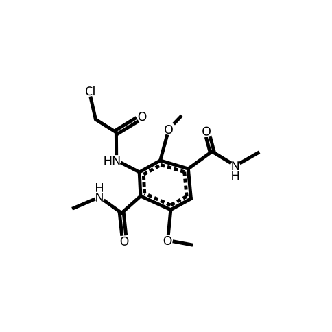 CNC(=O)c1cc(OC)c(C(=O)NC)c(NC(=O)CCl)c1OC